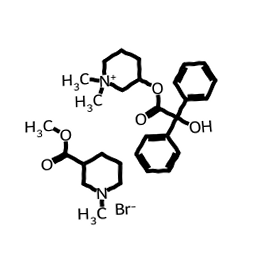 COC(=O)C1CCCN(C)C1.C[N+]1(C)CCCC(OC(=O)C(O)(c2ccccc2)c2ccccc2)C1.[Br-]